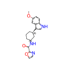 COc1ccc2[nH]cc([C@@H]3CCC[C@H](NC(=O)c4ncco4)C3)c2c1